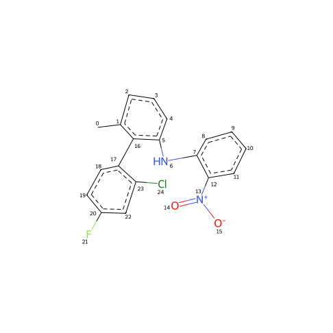 Cc1cccc(Nc2ccccc2[N+](=O)[O-])c1-c1ccc(F)cc1Cl